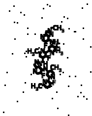 CCn1cc2ncc(F)c(Nc3cc(-c4nc(C)cc(Cn5ncc6ncc(F)c(Nc7cc(-c8nc(C)ccc8F)ncc7C)c65)c4F)ncc3C)c2n1